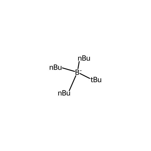 CCCC[B-](CCCC)(CCCC)C(C)(C)C